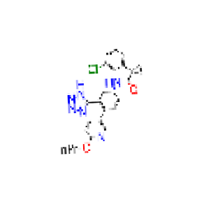 CCCOc1ccc(-c2ccc(NC(=O)C3(c4cccc(Cl)c4)CC3)cc2-c2nnn[nH]2)cn1